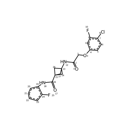 O=C(COc1ccc(Cl)c(F)c1)NC12CC(C(=O)Nc3ccccc3F)(C1)C2